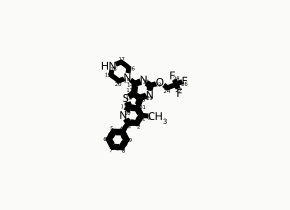 Cc1cc(-c2ccccc2)nc2sc3c(N4CCNCC4)nc(OCC(F)(F)F)nc3c12